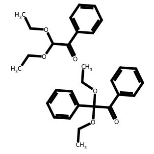 CCOC(OCC)(C(=O)c1ccccc1)c1ccccc1.CCOC(OCC)C(=O)c1ccccc1